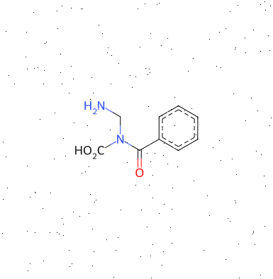 NCN(C(=O)O)C(=O)c1ccccc1